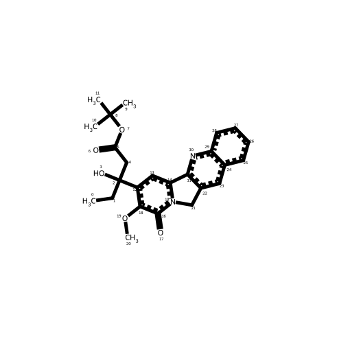 CCC(O)(CC(=O)OC(C)(C)C)c1cc2n(c(=O)c1OC)Cc1cc3ccccc3nc1-2